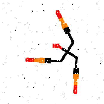 O=P#CC[Si](O)(CC#P=O)CC#P=O